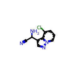 N#CC(N)c1cnn2cccc(Cl)c12